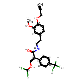 C#CCOc1ccc(CCNC(=O)/C(=C/OC(F)F)c2ccc(C(F)(F)F)cc2)cc1OC